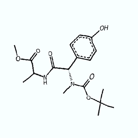 COC(=O)C(C)NC(=O)[C@H](c1ccc(O)cc1)N(C)C(=O)OC(C)(C)C